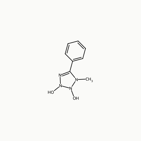 CN1C(c2ccccc2)=NN(O)N1O